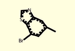 Cc1cc(Br)c2scnc2c1